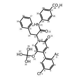 CC(=O)c1ccc(Cl)cc1-c1cc(=O)n(C(Cc2ccccc2)C(=O)Nc2ccc(C(=O)O)cc2)cc1OC(O)(O)O